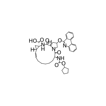 O=C(N[C@H]1CCCCC/C=C\[C@@H]2C[C@@]2(C(=O)O)NC(=O)[C@@H]2C[C@@H](Oc3nc4ccccc4c4ccccc34)CN2C1=O)OC1CCCC1